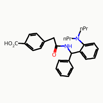 CCCN(CCC)c1ccccc1C(NC(=O)Cc1ccc(C(=O)O)cc1)c1ccccc1